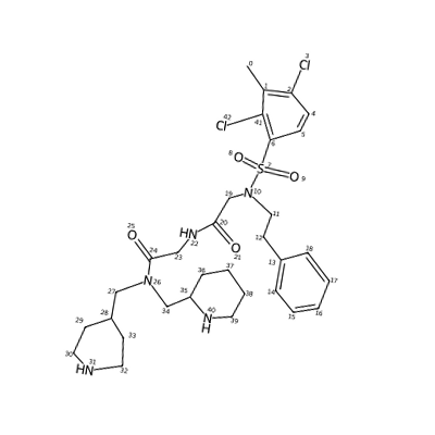 Cc1c(Cl)ccc(S(=O)(=O)N(CCc2ccccc2)CC(=O)NCC(=O)N(CC2CCNCC2)CC2CCCCN2)c1Cl